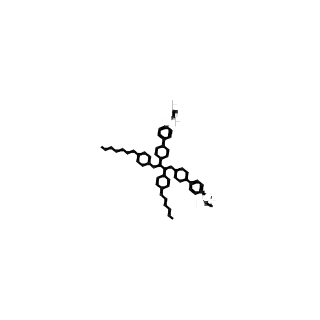 CCCCCCCC1CCC(CC(C2CCC(c3ccc(OC(F)C(F)(F)F)cc3)CC2)C(CC2CCC(c3ccc(OC(F)C(F)(F)F)cc3)CC2)C2CCC(CCCCCC)CC2)CC1